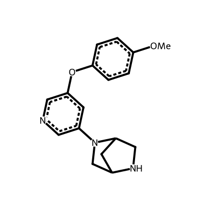 COc1ccc(Oc2cncc(N3CC4CC3CN4)c2)cc1